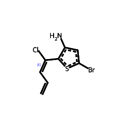 C=C/C=C(/Cl)c1sc(Br)cc1N